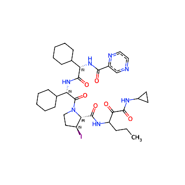 CCCC(NC(=O)[C@@H]1[C@@H](I)CCN1C(=O)[C@@H](NC(=O)[C@@H](NC(=O)c1cnccn1)C1CCCCC1)C1CCCCC1)C(=O)C(=O)NC1CC1